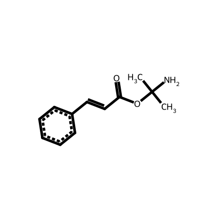 CC(C)(N)OC(=O)C=Cc1ccccc1